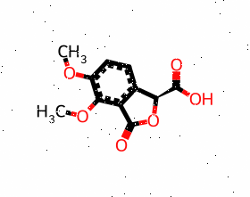 COc1ccc2c(c1OC)C(=O)O[C@@H]2C(=O)O